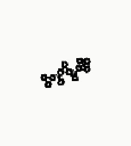 c1ccc(-c2ccccc2-c2ccc(N(c3ccccc3)c3ccc(-c4ccccc4-c4ccc5c6ccccc6n(-c6ccc7c(c6)-c6ccccc6C7(c6ccccc6)c6ccccc6)c5c4)cc3)cc2)cc1